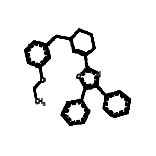 CCOc1cccc(CC2C=C(c3nc(-c4ccccc4)c(-c4ccccc4)o3)CCC2)c1